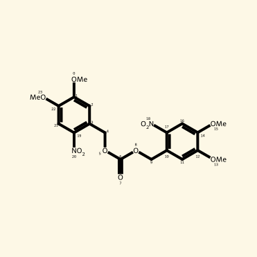 COc1cc(COC(=O)OCc2cc(OC)c(OC)cc2[N+](=O)[O-])c([N+](=O)[O-])cc1OC